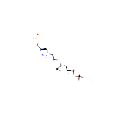 CC(C)(C)OC(=O)CC[C@H](NC(=O)Cn1cc(COS(C)(=O)=O)nn1)C(C)(C)C